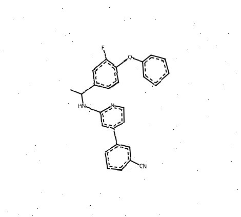 CC(Nc1cc(-c2cccc(C#N)c2)ccn1)c1ccc(Oc2ccccc2)c(F)c1